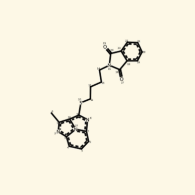 Cc1nc2cccc3nc(SCCCCN4C(=O)c5ccccc5C4=O)c1n23